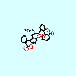 CNC(Cc1cccc2oc(=O)c3c(c12)CCCC3)C(O)c1cccc2oc(=O)c3c(c12)CCCC3